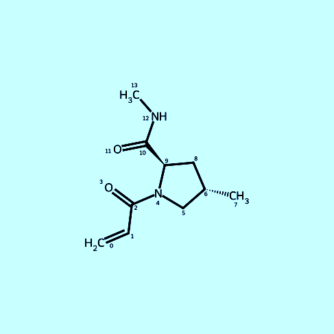 C=CC(=O)N1C[C@@H](C)C[C@@H]1C(=O)NC